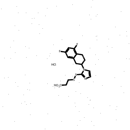 Cl.O=C(O)CCSSc1nccn1C1CCc2c(F)cc(F)cc2C1